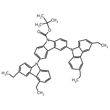 CCc1ccc2c(c1)c1cc(CC)ccc1n2-c1ccc2c(c1)c1cc(-n3c4ccc(CC)cc4c4c(CC)cccc43)ccc1n2C(=O)OC(C)(C)C